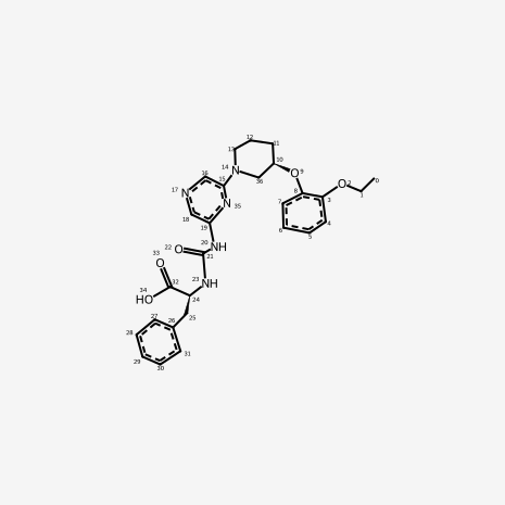 CCOc1ccccc1O[C@@H]1CCCN(c2cncc(NC(=O)N[C@@H](Cc3ccccc3)C(=O)O)n2)C1